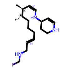 C[C@@H](/C=C\NC1C=CNCC1)[C@@H](C)CCC/C=C/CNCI